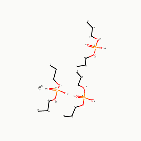 CCCOP(=O)([O-])OCCC.CCCOP(=O)([O-])OCCC.CCCOP(=O)([O-])OCCC.[Al+3]